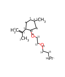 C=C(C)C1CCC(C)CC1OCCOCC[C](C)C